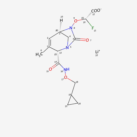 CC1=C[C@@H]2CN(C(=O)N2O[C@@H](F)C(=O)[O-])[C@@H]1C(=O)NOCC1CC1.[Li+]